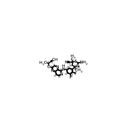 C#C[C@H](C)Oc1cnc2c(Nc3cc(F)c(F)c([C@]4(C)C[C@](C)(C#N)SC(N)=N4)c3)nccc2n1